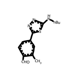 CCCCNc1nnc(-c2ccc(C=O)c(C)c2)s1